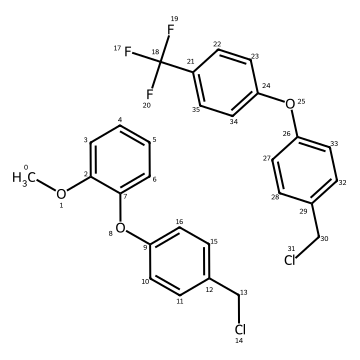 COc1ccccc1Oc1ccc(CCl)cc1.FC(F)(F)c1ccc(Oc2ccc(CCl)cc2)cc1